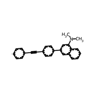 CN(C)c1cc(-c2ccc(C#Cc3cc[c]cc3)cc2)cc2ccccc12